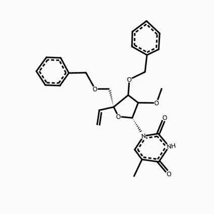 C=C[C@]1(COCc2ccccc2)O[C@@H](n2cc(C)c(=O)[nH]c2=O)C(OC)C1OCc1ccccc1